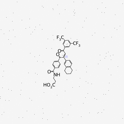 O=C(O)CCNC(=O)c1ccc(C(=O)/C(=C\C(=O)c2cc(C(F)(F)F)cc(C(F)(F)F)c2)c2ccc3c(c2)CCCC3)cc1